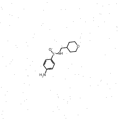 Nc1ccc([S+]([O-])NCC2CCOCC2)cc1